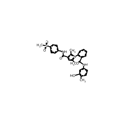 Cc1ccc(NC(=O)c2ccccc2-n2c(C)cc(C(=O)Nc3ccc(S(C)(=O)=O)cc3)c2C)cc1O